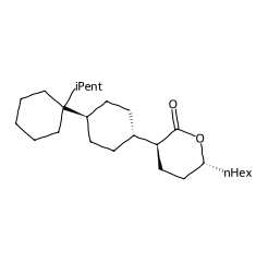 CCCCCC[C@@H]1CC[C@@H]([C@H]2CC[C@H](C3(C(C)CCC)CCCCC3)CC2)C(=O)O1